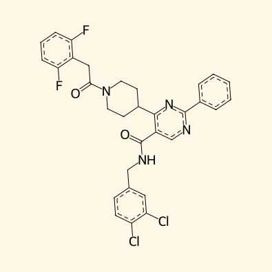 O=C(NCc1ccc(Cl)c(Cl)c1)c1cnc(-c2ccccc2)nc1C1CCN(C(=O)Cc2c(F)cccc2F)CC1